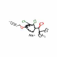 C=C(CC)C(=O)c1ccc(OCC(=O)[O-])c(Cl)c1Cl.[Na+]